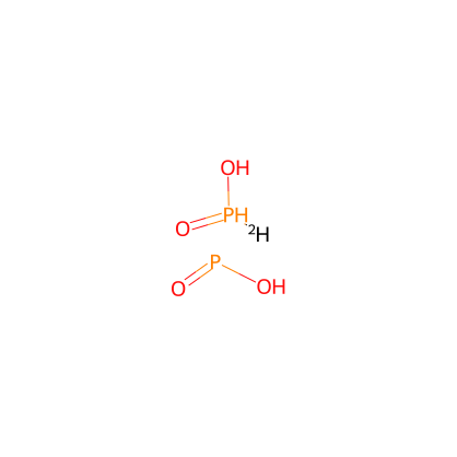 O=PO.[2H][PH](=O)O